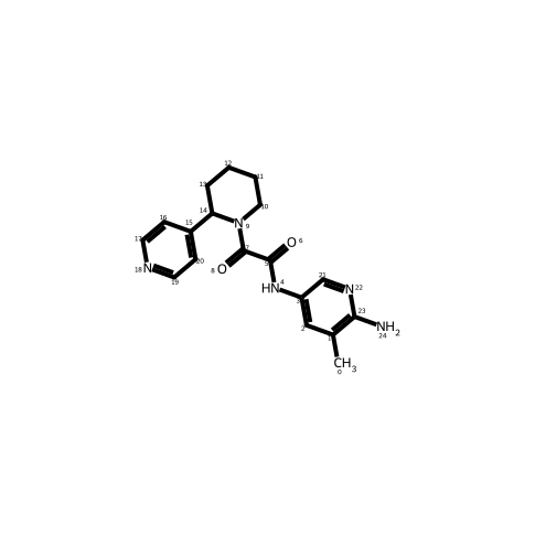 Cc1cc(NC(=O)C(=O)N2CCCCC2c2ccncc2)cnc1N